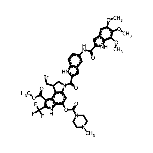 COC(=O)c1c(C(F)(F)F)[nH]c2c(OC(=O)N3CCN(C)CC3)cc3c(c12)C(CBr)CN3C(=O)c1cc2cc(NC(=O)c3cc4cc(OC)c(OC)c(OC)c4[nH]3)ccc2[nH]1